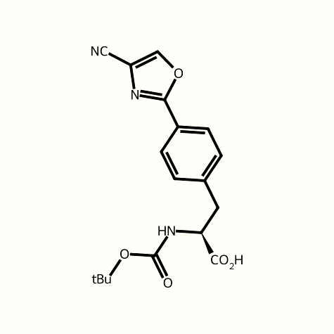 CC(C)(C)OC(=O)N[C@@H](Cc1ccc(-c2nc(C#N)co2)cc1)C(=O)O